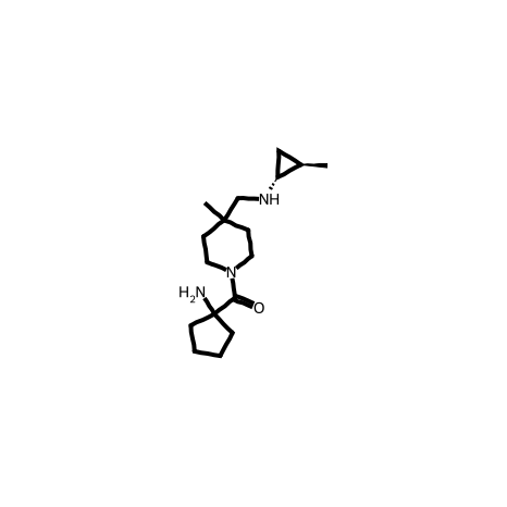 C[C@@H]1C[C@H]1NCC1(C)CCN(C(=O)C2(N)CCCC2)CC1